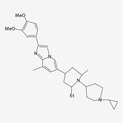 CCC1CC(c2cc(C)c3nc(-c4ccc(OC)c(OC)c4)cn3c2)CC(C)N1C1CCN(C2CC2)CC1